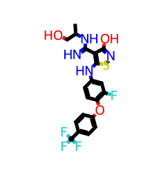 CC(CO)NC(=N)c1c(O)nsc1Nc1ccc(Oc2ccc(C(F)(F)F)cc2)c(F)c1